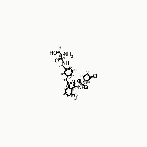 COc1cccc2c1c(NS(=O)(=O)c1ccc(Cl)s1)nn2Cc1cccc(CNC(=O)[C@H](N)[C@@H](C)O)c1